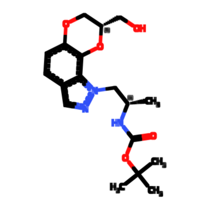 C[C@@H](Cn1ncc2ccc3c(c21)O[C@@H](CO)CO3)NC(=O)OC(C)(C)C